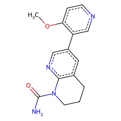 COc1ccncc1-c1cnc2c(c1)CCCN2C(N)=O